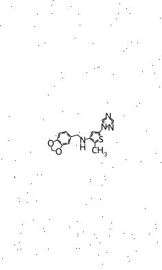 Cc1sc(-n2cncn2)cc1NCc1ccc2c(c1)OCO2